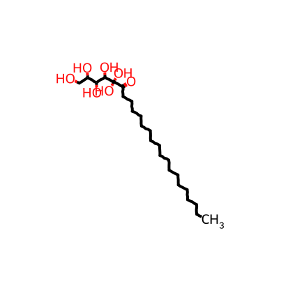 CCCCCCCCCCCCCCCCCCC(=O)C(O)(O)C(O)C(O)C(O)CO